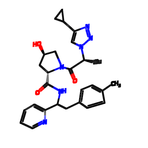 Cc1ccc(CC(NC(=O)[C@@H]2C[C@@H](O)CN2C(=O)[C@@H](n2cc(C3CC3)nn2)C(C)(C)C)c2ccccn2)cc1